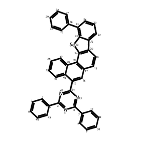 c1ccc(-c2nc(-c3ccccc3)nc(-c3cc4ccc5c6cccc(-c7ccccc7)c6[se]c5c4c4ccccc34)n2)cc1